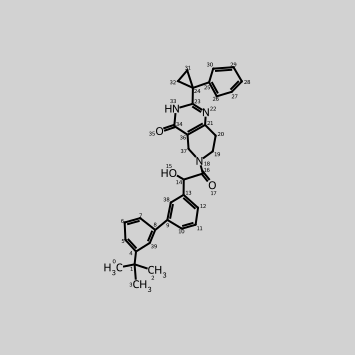 CC(C)(C)c1cccc(-c2cccc(C(O)C(=O)N3CCc4nc(C5(c6ccccc6)CC5)[nH]c(=O)c4C3)c2)c1